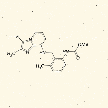 COC(=O)Nc1cccc(C)c1CNc1cccn2c(F)c(C)nc12